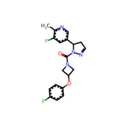 Cc1ncc(C2CC=NN2C(=O)N2CC(Oc3ccc(F)cc3)C2)cc1F